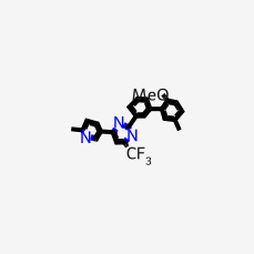 COc1ccc(C)cc1-c1cccc(-c2nc(-c3ccc(C)nc3)cc(C(F)(F)F)n2)c1